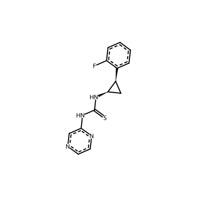 Fc1ccccc1[C@H]1C[C@H]1NC(=S)Nc1cnccn1